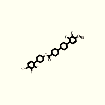 CCCc1ccc(C2CCC(OC(=O)C3CCC(C4CC=C(c5ccc(OCC)c(F)c5F)CC4)CC3)CC2)c(F)c1F